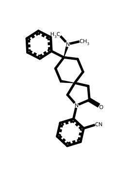 CN(C)[C@]1(c2ccccc2)CC[C@@]2(CC1)CC(=O)N(c1ccccc1C#N)C2